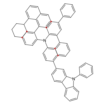 c1ccc(-c2ccc(N(c3ccc(-c4ccc5c6ccccc6n(-c6ccccc6)c5c4)cc3)c3ccccc3-c3cccc4cccc(C5CCCCC5)c34)c(-c3ccccc3)c2)cc1